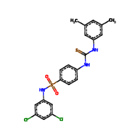 Cc1cc(C)cc(NC(=S)Nc2ccc(S(=O)(=O)Nc3cc(Cl)cc(Cl)c3)cc2)c1